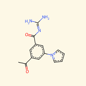 CC(=O)c1cc(C(=O)N=C(N)N)cc(-n2cccc2)c1